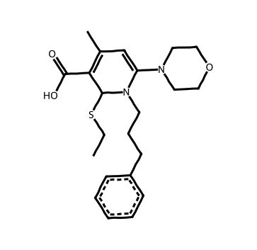 CCSC1C(C(=O)O)=C(C)C=C(N2CCOCC2)N1CCCc1ccccc1